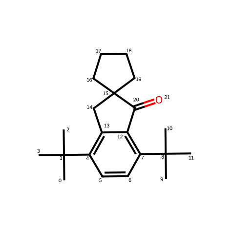 CC(C)(C)c1ccc(C(C)(C)C)c2c1CC1(CCCC1)C2=O